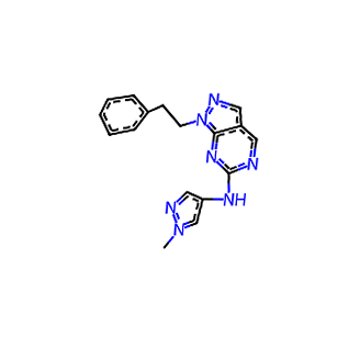 Cn1cc(Nc2ncc3cnn(CCc4ccccc4)c3n2)cn1